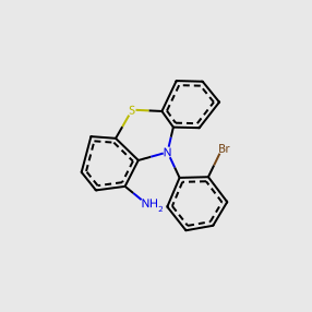 Nc1cccc2c1N(c1ccccc1Br)c1ccccc1S2